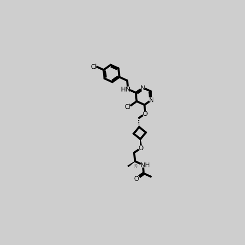 CC(=O)N[C@@H](C)CO[C@H]1C[C@H](COC2N=CN=C(NCc3ccc(Cl)cc3)C2Cl)C1